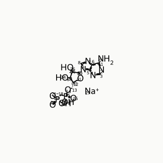 Nc1ncnc2c1ncn2[C@@H]1O[C@H](COP(=O)(O)CP(=O)([O-])O)[C@@H](O)[C@H]1O.[Na+]